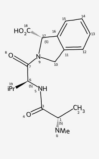 CN[C@@H](C)C(=O)N[C@H](C(=O)N1Cc2ccccc2[C@H]1C(=O)O)C(C)C